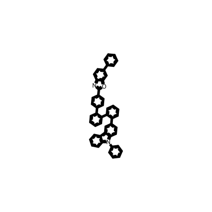 c1ccc(-c2ccc3nc(-c4ccc(-c5ccccc5-c5ccccc5-c5ccc6c(c5)c5ccccc5n6-c5ccccc5)cc4)oc3c2)cc1